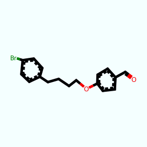 O=Cc1ccc(OCCCCc2ccc(Br)cc2)cc1